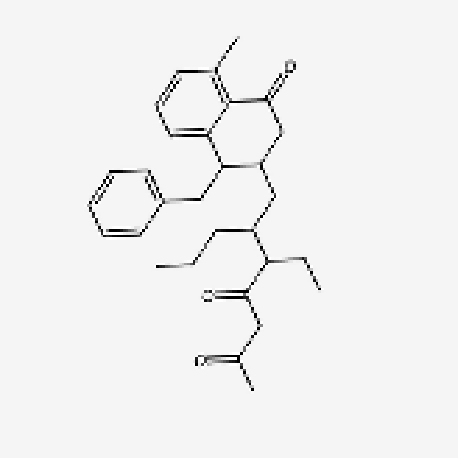 CCCC(CC1CC(=O)c2c(C)cccc2C1Cc1ccccc1)C(CC)C(=O)CC(C)=O